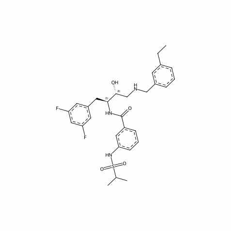 CCc1cccc(CNC[C@@H](O)[C@H](Cc2cc(F)cc(F)c2)NC(=O)c2cccc(NS(=O)(=O)C(C)C)c2)c1